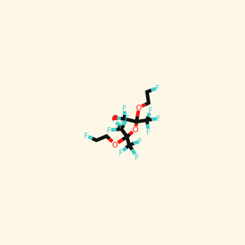 FCCOC(OC(OCCF)(C(F)(F)F)C(F)(F)F)(C(F)(F)F)C(F)(F)F